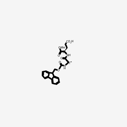 COC(=O)[C@@H](CCC(=O)O)NC(=O)[C@H](C)NC(=O)OCC1c2ccccc2-c2ccccc21